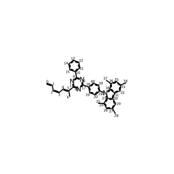 C=C/C=C\C=C(/C)c1nc(-c2ccccc2)nc(-c2ccc(-n3c4c(C)cc(C)cc4c4cc(C)cc(C)c43)cc2)n1